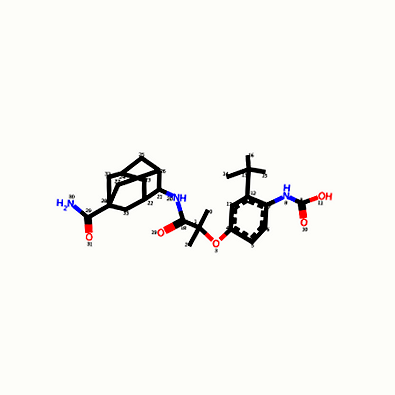 CC(C)(Oc1ccc(NC(=O)O)c(C(C)(C)C)c1)C(=O)NC1C2CC3CC1CC(C(N)=O)(C3)C2